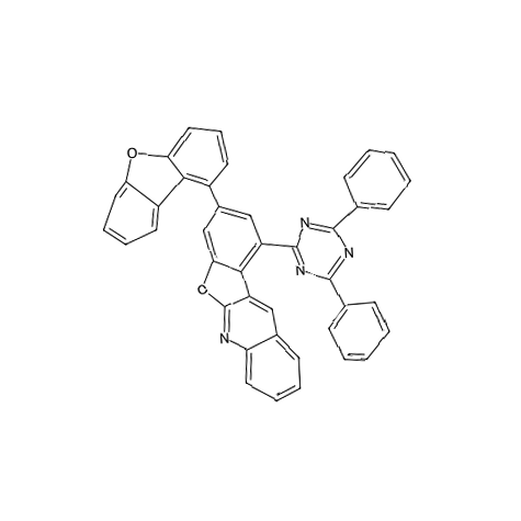 c1ccc(-c2nc(-c3ccccc3)nc(-c3cc(-c4cccc5oc6ccccc6c45)cc4oc5nc6ccccc6cc5c34)n2)cc1